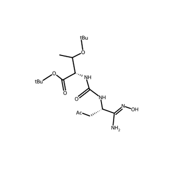 CC(=O)C[C@H](NC(=O)N[C@H](C(=O)OC(C)(C)C)C(C)OC(C)(C)C)/C(N)=N/O